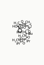 CC[C@H](C)[C@@H]([C@@H](CC(=O)N1CCC[C@H]1[C@H](OC)[C@@H](C)C(=O)N[C@H](C)[C@H](O)c1ccccc1)OC)N(C)C(=O)[C@@H](NC(=O)[C@H](C(C)C)N(C)I)C(C)C